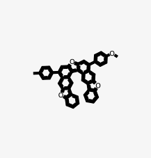 COc1ccc(-c2cc3oc4cc(-c5ccc(C)cc5)c5cc6oc7ccccc7c6cc5c4c3c3cc4c(cc23)oc2ccccc24)cc1